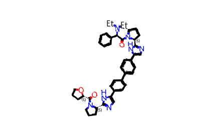 CCN(CC)C(C(=O)N1CCC[C@H]1c1ncc(-c2ccc(-c3ccc(-c4cnc([C@@H]5CCCN5C(=O)[C@@H]5CCCO5)[nH]4)cc3)cc2)[nH]1)c1ccccc1